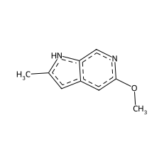 COc1cc2cc(C)[nH]c2cn1